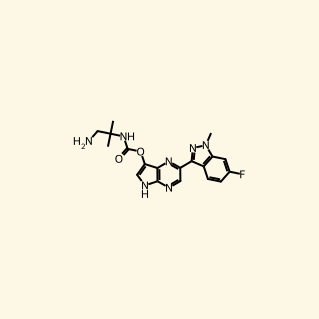 Cn1nc(-c2cnc3[nH]cc(OC(=O)NC(C)(C)CN)c3n2)c2ccc(F)cc21